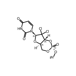 CC(C)O[P@]1(=O)OC[C@H]2O[C@@H](n3ccc(=O)[nH]c3=O)C(Cl)(Cl)[C@@H]2O1